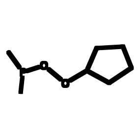 CP(C)OOC1CCCC1